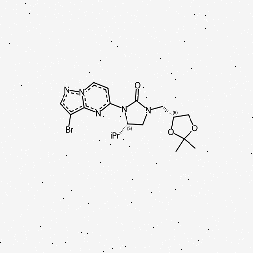 CC(C)[C@H]1CN(C[C@@H]2COC(C)(C)O2)C(=O)N1c1ccn2ncc(Br)c2n1